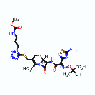 CC(C)(C)OC(=O)NCCCn1nnnc1SCC1=C(C(=O)O)N2C(=O)C(NC(=O)/C(=N/OC(C)(C)C(=O)O)c3nsc(N)n3)[C@H]2SC1